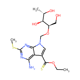 CCOC(=S)c1cn(CO[C@H](CO)[C@@H](O)[C@H](C)O)c2nc(SC)nc(N)c12